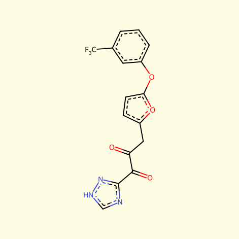 O=C(Cc1ccc(Oc2cccc(C(F)(F)F)c2)o1)C(=O)c1nc[nH]n1